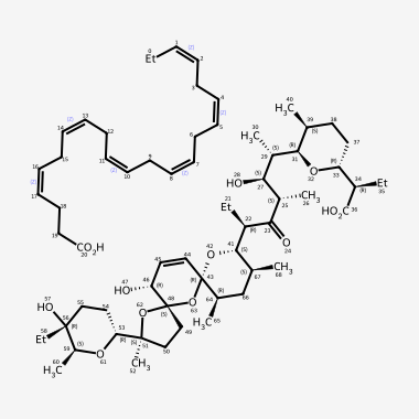 CC/C=C\C/C=C\C/C=C\C/C=C\C/C=C\C/C=C\CCC(=O)O.CC[C@@H](C(=O)[C@@H](C)[C@@H](O)[C@H](C)[C@@H]1O[C@@H]([C@@H](CC)C(=O)O)CC[C@@H]1C)[C@H]1O[C@]2(C=C[C@@H](O)[C@]3(CC[C@@](C)([C@H]4CC[C@](O)(CC)[C@H](C)O4)O3)O2)[C@H](C)C[C@@H]1C